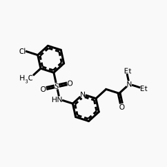 CCN(CC)C(=O)Cc1cccc(NS(=O)(=O)c2cccc(Cl)c2C)n1